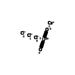 [Cl-].[Cl-].[Cl-].[Cs+].[O]=[U+2]=[O]